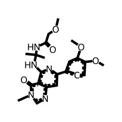 COCC(=O)NC(C)(C)Nc1nc(-c2ccc(OC)c(OC)c2)cc2ncn(C)c(=O)c12